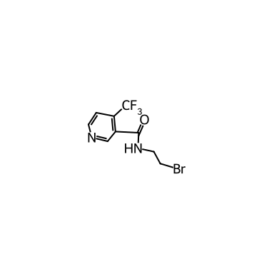 O=C(NCCBr)c1cnccc1C(F)(F)F